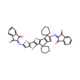 O=c1c(=NC2=CC3=C(c4sc5c(sc6cc(N=c7c(=O)c8ccccc8c7=O)sc65)c4C34CCCCC4)C23CCCCC3)c(=O)c2ccccc12